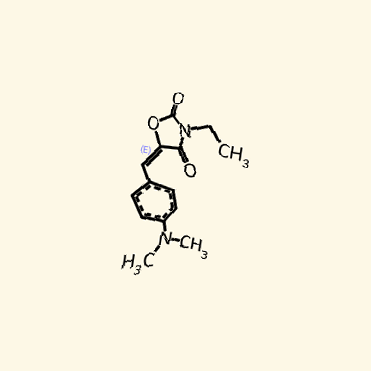 CCN1C(=O)O/C(=C/c2ccc(N(C)C)cc2)C1=O